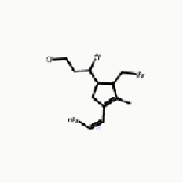 CCC/C=C\C1=C(C)C(CC(C)C)C(C(Cl)CCCl)C1